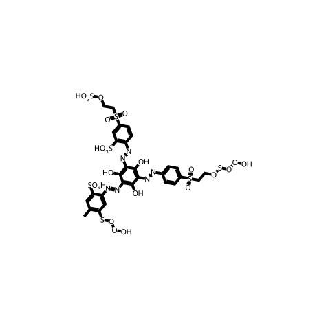 Cc1cc(S(=O)(=O)O)c(/N=N/c2c(O)c(/N=N/c3ccc(S(=O)(=O)CCOSOOO)cc3)c(O)c(/N=N/c3ccc(S(=O)(=O)CCOS(=O)(=O)O)cc3S(=O)(=O)O)c2O)cc1SOOO